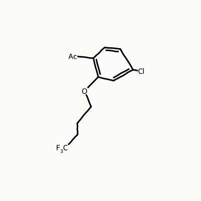 CC(=O)c1ccc(Cl)cc1OCCCC(F)(F)F